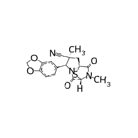 CN1C(=O)[C@@]23C[C@](C)(C#N)[C@H](c4ccc5c(c4)OCO5)N2C(=O)[C@@H]1S3